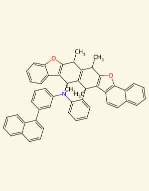 CC1C2=C3C(C)(c4ccccc4N(c4cccc(-c5cccc6ccccc56)c4)C3(C)c3c1oc1ccccc31)c1c(oc3c1ccc1ccccc13)C2C